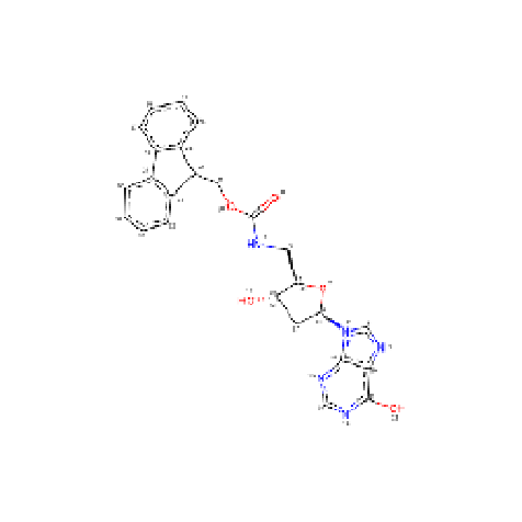 O=C(NC[C@H]1O[C@@H](n2cnc3c(O)ncnc32)C[C@@H]1O)OCC1c2ccccc2-c2ccccc21